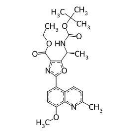 CCOC(=O)c1nc(-c2ccc(OC)c3nc(C)ccc23)oc1[C@H](C)NC(=O)OC(C)(C)C